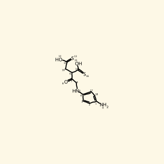 Nc1ccc(NCC(=O)C(CC(O)=S)C(O)=S)cc1